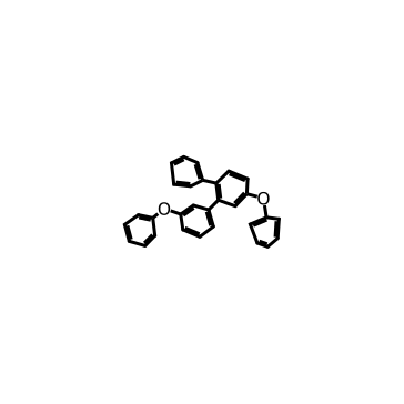 c1ccc(Oc2cccc(-c3cc(Oc4ccccc4)ccc3-c3ccccc3)c2)cc1